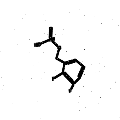 O=[PH](O)OCc1cccc(F)c1F